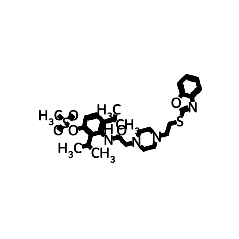 CC(C)c1ccc(OS(C)(=O)=O)c(C(C)C)c1NC(=O)CN1CCN(CCSc2nc3ccccc3o2)CC1